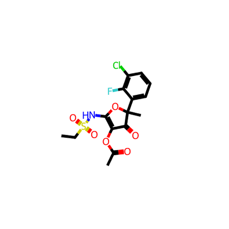 CCS(=O)(=O)NC1=C(OC(C)=O)C(=O)C(C)(c2cccc(Cl)c2F)O1